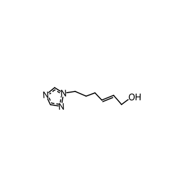 OCC=CCCCn1cncn1